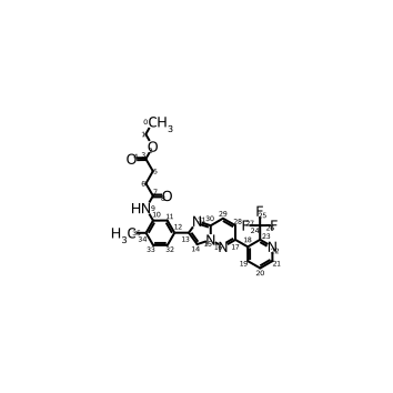 CCOC(=O)CCC(=O)Nc1cc(-c2cn3nc(-c4cccnc4C(F)(F)F)ccc3n2)ccc1C